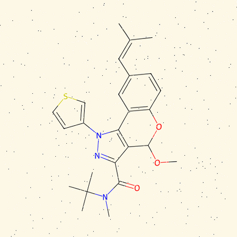 COC1Oc2ccc(C=C(C)C)cc2-c2c1c(C(=O)N(C)C(C)(C)C)nn2-c1ccsc1